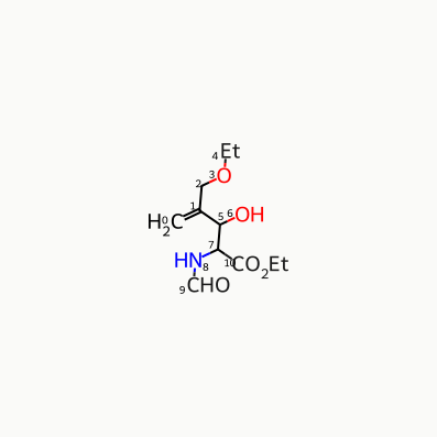 C=C(COCC)C(O)C(NC=O)C(=O)OCC